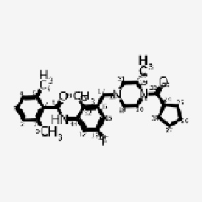 Cc1cccc(C)c1C(=O)Nc1cc(F)cc(CN2CCN(C(=O)C3CCCC3)[C@@H](C)C2)c1C